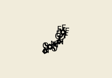 COc1cc(N2CCCC2)c(OC)cc1/N=N/c1cc(C(=O)Oc2c(F)c(F)c(F)c(F)c2F)n(C)c1